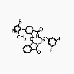 Cn1ncc(Br)c1-c1ccc2c(c1)CN([C@H](Cc1cc(F)cc(F)c1)CN1C(=O)c3ccccc3C1=O)C2=O